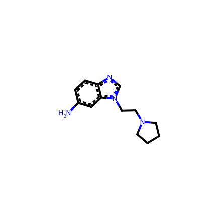 Nc1ccc2ncn(CCN3CCCC3)c2c1